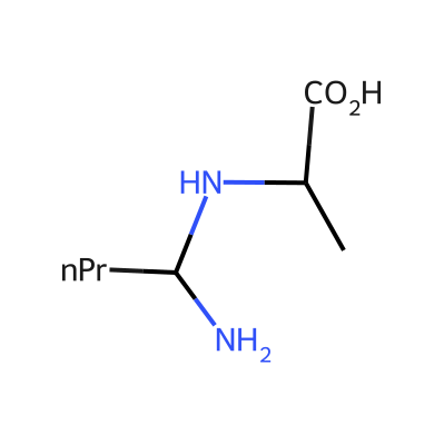 CCCC(N)NC(C)C(=O)O